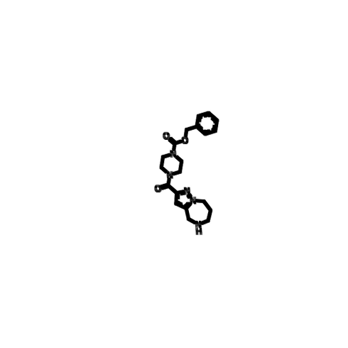 O=C(OCc1ccccc1)N1CCN(C(=O)c2cc3n(n2)CCCNC3)CC1